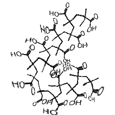 CC(C)(CC(C)(CC(C)(CC(C)(CC(C)(CC(C)(CC(C)(CC(C)(CC(C)(CC(C)(CC(C)(CC(C)(CC(C)(CC(C)(CC(C)(C)C(=O)O)C(=O)O)C(=O)O)C(=O)O)C(=O)O)C(=O)O)C(=O)O)C(=O)O)C(=O)O)C(=O)O)C(=O)O)C(=O)O)C(=O)O)C(=O)O)C(=O)O